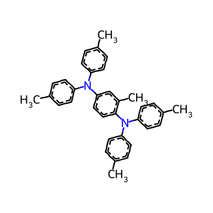 Cc1ccc(N(c2ccc(C)cc2)c2ccc(N(c3ccc(C)cc3)c3ccc(C)cc3)c(C)c2)cc1